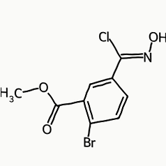 COC(=O)c1cc(C(Cl)=NO)ccc1Br